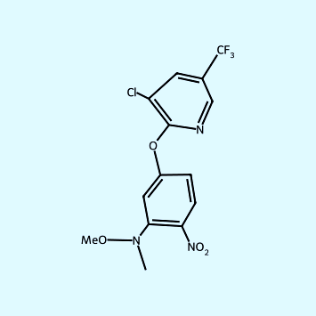 CON(C)c1cc(Oc2ncc(C(F)(F)F)cc2Cl)ccc1[N+](=O)[O-]